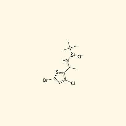 CC(N[S+]([O-])C(C)(C)C)c1sc(Br)cc1Cl